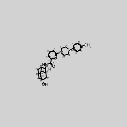 Cc1ccc(N2CCN(c3cccc(C(=O)N[C@H]4C5CC6CC4C[C@](O)(C6)C5)n3)CC2)cc1